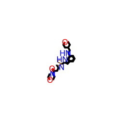 O=C(CC1CSC(c2cc3cccc(NCC4CCOCC4)c3[nH]2)=N1)N1CCOCC1